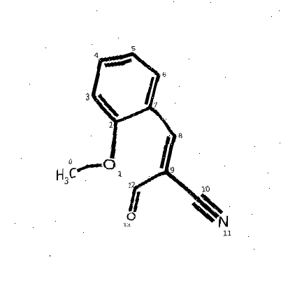 COc1ccccc1C=C(C#N)C=O